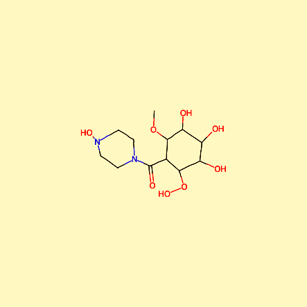 COC1C(O)C(O)C(O)C(OO)C1C(=O)N1CCN(O)CC1